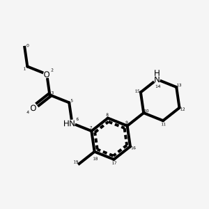 CCOC(=O)CNc1cc(C2CCCNC2)ccc1C